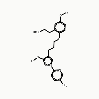 CCOc1ccc(OCCCc2cn(-c3ccc(C(F)(F)F)cn3)nc2OCC)c(CCC(=O)O)c1